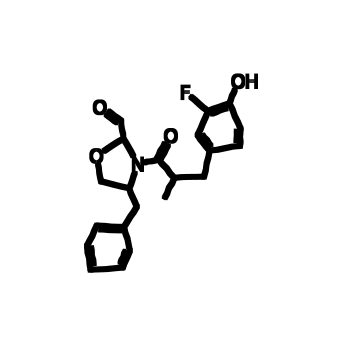 CC(Cc1ccc(O)c(F)c1)C(=O)N1C(Cc2ccccc2)COC1C=O